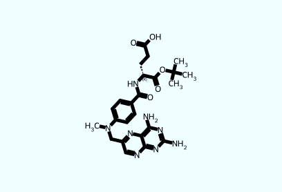 CN(Cc1cnc2nc(N)nc(N)c2n1)c1ccc(C(=O)N[C@H](CCC(=O)O)C(=O)OC(C)(C)C)cc1